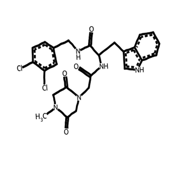 CN1CC(=O)N(CC(=O)NC(Cc2c[nH]c3ccccc23)C(=O)NCc2ccc(Cl)c(Cl)c2)CC1=O